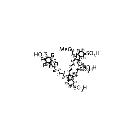 COCCN1/C(=C/C=C/C=C/C2=[N+](CCCCCC(=O)Oc3c(F)c(F)c(S(=O)(=O)O)c(F)c3F)c3ccc(S(=O)(=O)O)cc3C2(C)CCCS(=O)(=O)O)C(C)(CCCS(=O)(=O)O)c2cc(S(=O)(=O)O)ccc21